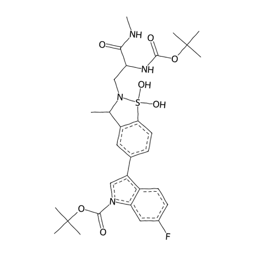 CNC(=O)C(CN1C(C)c2cc(-c3cn(C(=O)OC(C)(C)C)c4cc(F)ccc34)ccc2S1(O)O)NC(=O)OC(C)(C)C